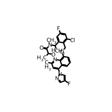 Cc1cc(-n2cc(F)cn2)c2cccc(OCc3c(Cl)cc(F)cc3C(C)N(C)C(=O)C(C)O)c2n1